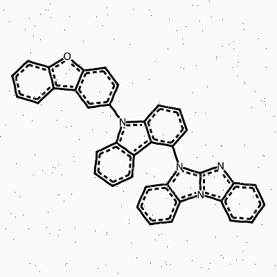 c1ccc2c(c1)nc1n(-c3cccc4c3c3ccccc3n4-c3ccc4oc5ccccc5c4c3)c3ccccc3n21